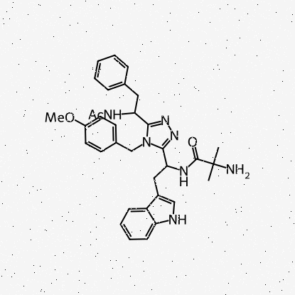 COc1ccc(Cn2c(C(Cc3ccccc3)NC(C)=O)nnc2C(Cc2c[nH]c3ccccc23)NC(=O)C(C)(C)N)cc1